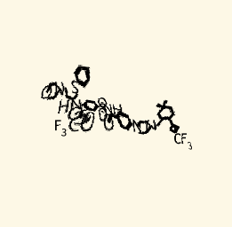 CC1(C)CCC(C23CC(C(F)(F)F)(C2)C3)=C(CN2CCN(c3ccc(C(=O)NS(=O)(=O)c4ccc(NC(CCN5CCOCC5)CSc5ccccc5)c(S(=O)(=O)C(F)(F)F)c4)cc3)CC2)C1